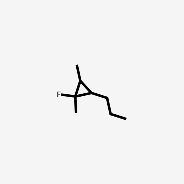 CCCC1C(C)C1(C)F